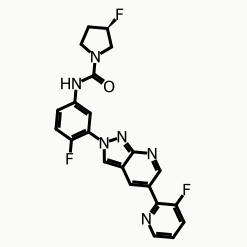 O=C(Nc1ccc(F)c(-n2cc3cc(-c4ncccc4F)cnc3n2)c1)N1CC[C@@H](F)C1